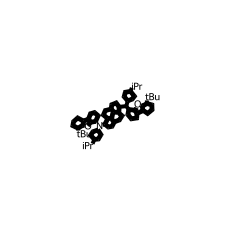 CC(C)c1ccc(C(c2ccc3ccc4c(N(c5ccc(C(C)C)cc5)c5cccc6c5oc5c(C(C)(C)C)cccc56)ccc5ccc2c3c54)c2cccc3c2oc2c(C(C)(C)C)cccc23)cc1